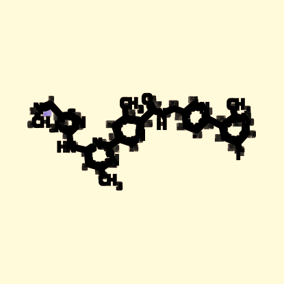 C/N=C\c1nc(Nc2cc(C)nc(-c3cnc(C(=O)NCc4ccc(-c5cc(F)cnc5C)nc4)c(C)c3)n2)ns1